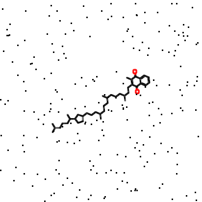 CC1=C(CCC(C)CCCC(C)CCCC(C)CCCC2CCC(C(C)CCCC(C)C)C2)C(=O)c2ccccc2C1=O